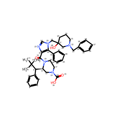 CC(C)(C)C(c1ccccc1)[C@@H]1CN(C(=O)O)CCN1C(=O)c1ncn(CC2(O)CCCN(Cc3ccccc3)C2)c1-c1ccccc1